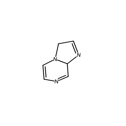 C1=CN2CC=NC2C=N1